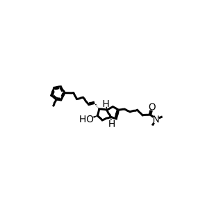 Cc1cccc(CCC/C=C/[C@@H]2[C@H]3CC(CCCCC(=O)N(C)C)=C[C@H]3C[C@H]2O)c1